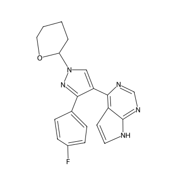 Fc1ccc(-c2nn(C3CCCCO3)cc2-c2ncnc3[nH]ccc23)cc1